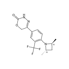 C[C@H]1C[C@H](C)N1c1ccc(C2=NNC(=O)OC2)cc1C(F)(F)F